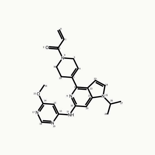 C=CC(=O)N1CC=C(c2nc(Nc3cc(OC)ncn3)cc3c2ccn3C(C)C)CC1